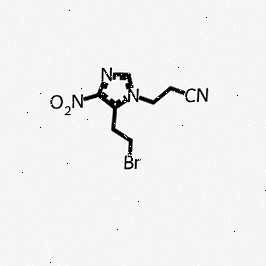 N#CCCn1cnc([N+](=O)[O-])c1CCBr